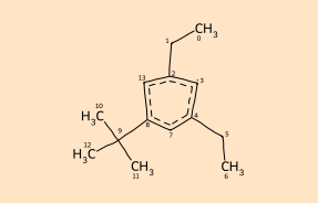 CCc1[c]c(CC)cc(C(C)(C)C)c1